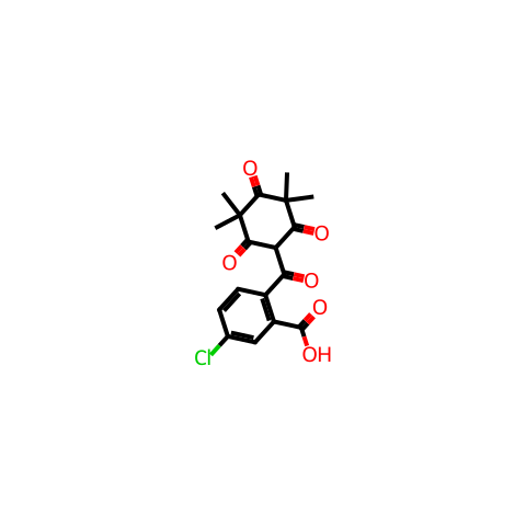 CC1(C)C(=O)C(C(=O)c2ccc(Cl)cc2C(=O)O)C(=O)C(C)(C)C1=O